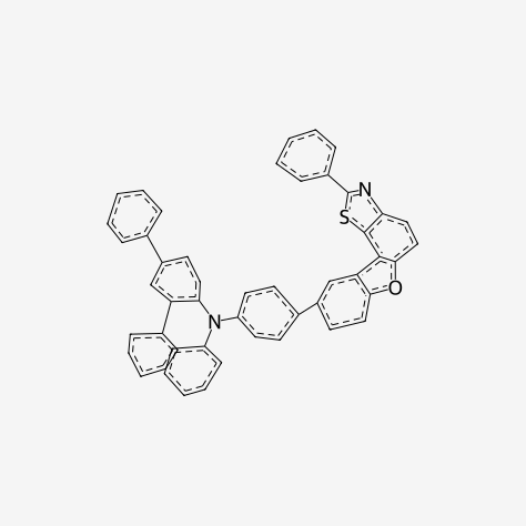 c1ccc(-c2ccc(N(c3ccccc3)c3ccc(-c4ccc5oc6ccc7nc(-c8ccccc8)sc7c6c5c4)cc3)c(-c3ccccc3)c2)cc1